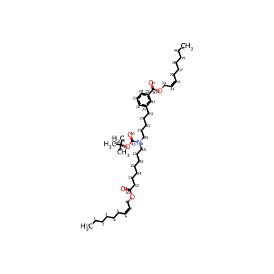 CCCCCC/C=C\COC(=O)CCCCCCCN(CCCCCc1cccc(C(=O)OC/C=C\CCCCCC)c1)C(=O)OC(C)(C)C